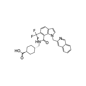 O=C(NC[C@H]1CC[C@H](C(=O)O)CC1)c1c(C(F)(F)F)ccc2ccn(Cc3cc4ccccc4cn3)c12